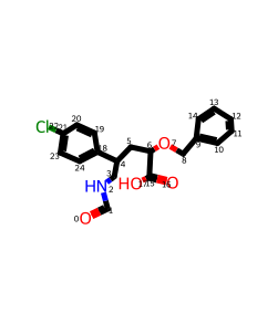 O=CNCC(CC(OCc1ccccc1)C(=O)O)c1ccc(Cl)cc1